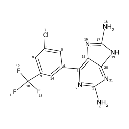 Nc1nc(-c2cc(Cl)cc(C(F)(F)F)c2)c2nc(N)[nH]c2n1